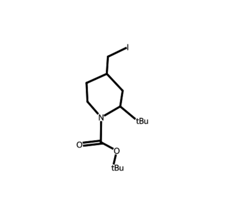 CC(C)(C)OC(=O)N1CCC(CI)CC1C(C)(C)C